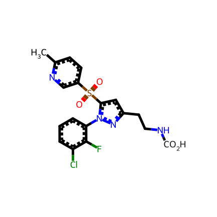 Cc1ccc(S(=O)(=O)c2cc(CCNC(=O)O)nn2-c2cccc(Cl)c2F)cn1